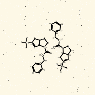 [CH3][Sn]([CH3])([CH3])[C]1=CC2C(CCN2C(=O)OCc2ccccc2)C1.[CH3][Sn]([CH3])([CH3])[C]1=CC2CCN(C(=O)OCc3ccccc3)C2C1